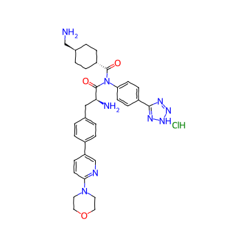 Cl.NC[C@H]1CC[C@H](C(=O)N(C(=O)[C@@H](N)Cc2ccc(-c3ccc(N4CCOCC4)nc3)cc2)c2ccc(-c3nn[nH]n3)cc2)CC1